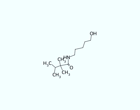 CC(C)C(C)(C)C(=O)NCCCCCO